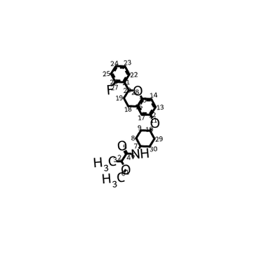 COC(C)C(=O)NC1CCC(Oc2ccc3c(c2)CCC(c2ccccc2F)O3)CC1